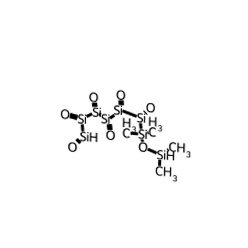 C[SiH](C)O[Si](C)(C)[Si](=O)[Si](=O)[Si](=O)[Si](=O)[Si](=O)[SiH]=O